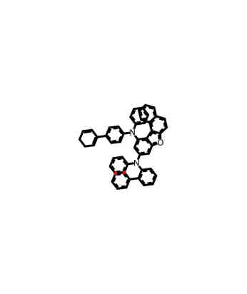 C1=CC(c2ccc(N(c3ccccc3)c3cc(N(c4ccccc4)c4ccccc4-c4ccccc4)cc4oc5ccc6ccccc6c5c34)cc2)=CCC1